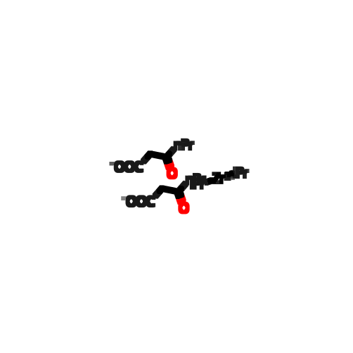 CCCC(=O)CC(=O)[O-].CCCC(=O)CC(=O)[O-].C[CH](C)[Zr+2][CH](C)C